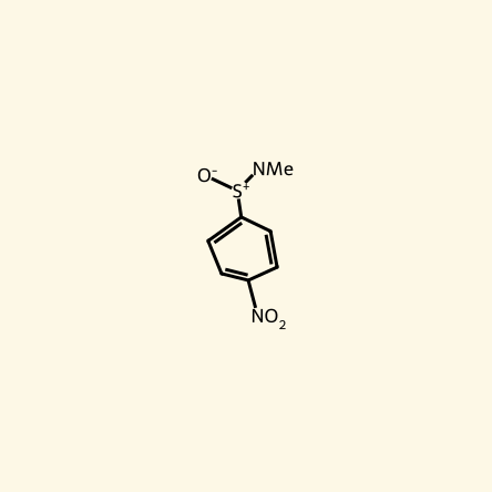 CN[S+]([O-])c1ccc([N+](=O)[O-])cc1